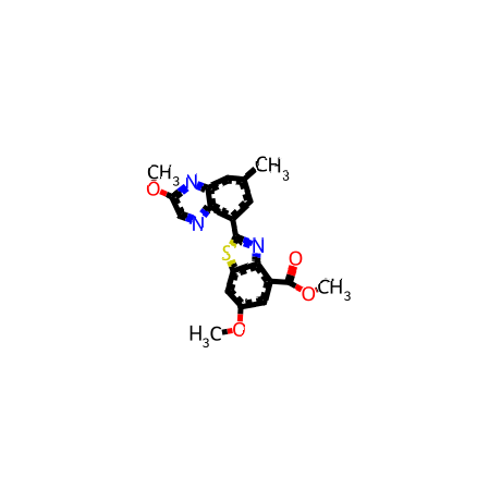 COC(=O)c1cc(OC)cc2sc(-c3cc(C)cc4nc(OC)cnc34)nc12